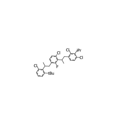 CC(C)c1c(Cl)ccc(CC(C)c2c(Cl)ccc(CC(C)c3c(Cl)cccc3C(C)(C)C)c2F)c1Cl